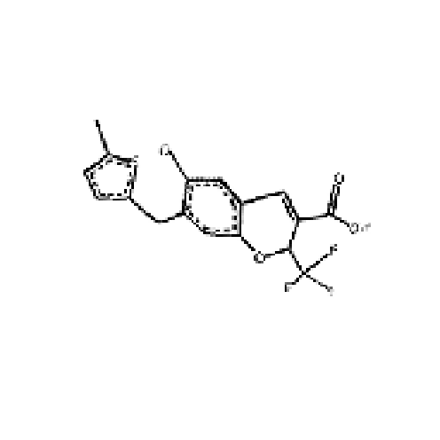 Cc1ccc(Cc2cc3c(cc2Cl)C=C(C(=O)O)C(C(F)(F)F)O3)s1